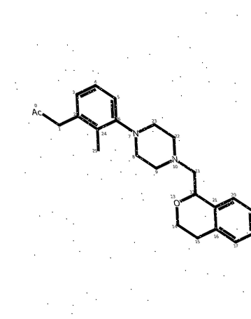 CC(=O)Cc1cccc(N2CCN(CC3OCCc4ccccc43)CC2)c1C